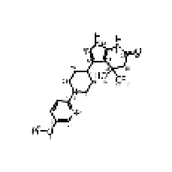 CC(C)Oc1ccc(N2CCC(c3n[nH]c4c3C(O)(C(F)(F)F)CC(=O)N4)CC2)nc1